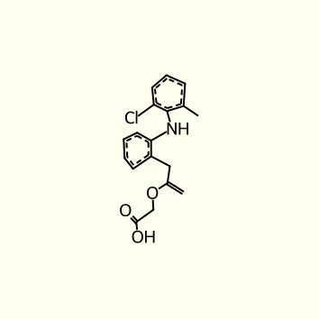 C=C(Cc1ccccc1Nc1c(C)cccc1Cl)OCC(=O)O